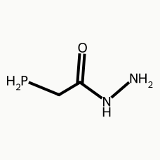 NNC(=O)CP